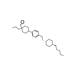 CCCCC[C@H]1CC[C@H](CCc2ccc(C3CCC(C=O)(CCC)CC3)cc2)CC1